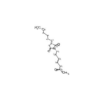 COCCCSC1CC(=O)N(CCCCCC(C)=O)C1=O